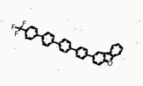 FC(F)(F)c1ccc(-c2ccc(-c3ccc(-c4ccc(-c5ccc6oc7ccccc7c6c5)cc4)cc3)cc2)cc1